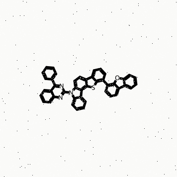 c1ccc(-c2nc(-n3c4ccccc4c4c5sc6c(-c7cccc8c7oc7ccccc78)cccc6c5ccc43)nc3ccccc23)cc1